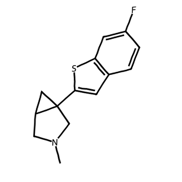 CN1CC2CC2(c2cc3ccc(F)cc3s2)C1